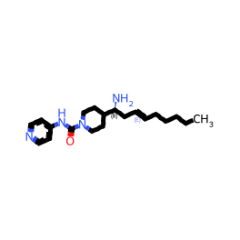 CCCCC/C=C/C[C@@H](N)C1CCN(C(=O)Nc2ccncc2)CC1